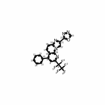 FC(F)(F)C(F)(F)c1cc(-c2ccccc2)c2ccc3nc(-c4nnco4)cn3c2n1